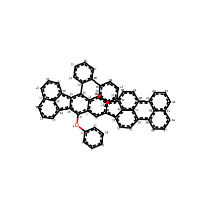 c1ccc(Oc2c3cc4c(cc3c(-c3ccccc3-c3ccccc3)c3c5cccc6cccc(c23)c65)c2ccc3c5cccc6cccc(c7ccc4c2c73)c65)cc1